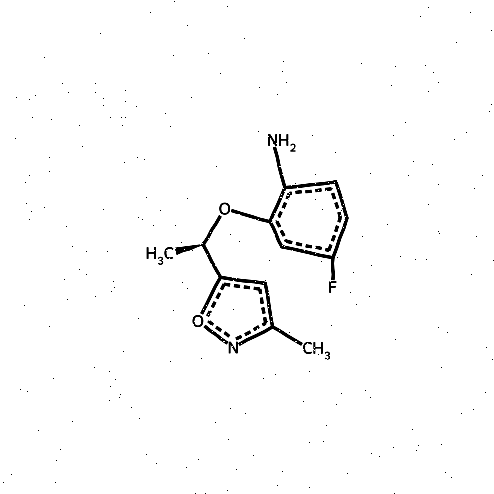 Cc1cc([C@@H](C)Oc2cc(F)ccc2N)on1